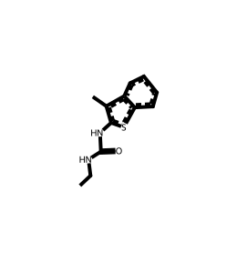 CCNC(=O)Nc1sc2ccccc2c1C